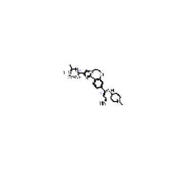 CC(=N)/N=C(\NC(C)C)c1cn2c(n1)-c1ccc(/C(=C/C=N)NC3CCN(C)CC3)cc1OCC2